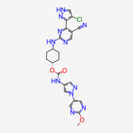 COc1ncc(-n2cc(NC(=O)O[C@H]3CC[C@H](Nc4ncc(C#N)c(-c5n[nH]cc5Cl)n4)CC3)cn2)cn1